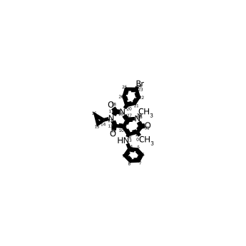 Cc1c(Nc2ccccc2)c2c(=O)n(C3CC3)c(=O)n(-c3ccc(Br)cc3)c2n(C)c1=O